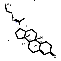 CSCO/N=C(\C)[C@H]1CC[C@H]2[C@@H]3CCC4=CC(=O)CC[C@]4(C)[C@H]3CC[C@]12C